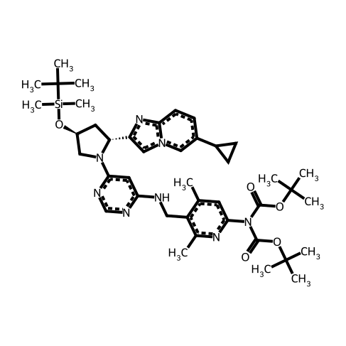 Cc1cc(N(C(=O)OC(C)(C)C)C(=O)OC(C)(C)C)nc(C)c1CNc1cc(N2C[C@@H](O[Si](C)(C)C(C)(C)C)C[C@@H]2c2cn3cc(C4CC4)ccc3n2)ncn1